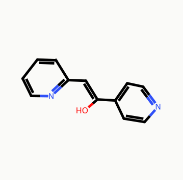 OC(=Cc1[c]cccn1)c1ccncc1